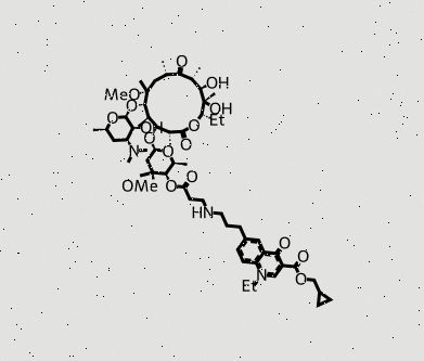 CC[C@@H]1OC(=O)[C@H](C)[C@H](O[C@@H]2C[C@](C)(OC)[C@H](OC(=O)CCNCCCc3ccc4c(c3)c(=O)c(C(=O)OCC3CC3)cn4CC)[C@H](C)O2)[C@@H](C)[C@H](O[C@@H]2O[C@H](C)C[C@H](N(C)C)[C@@H]2O)[C@](C)(OC)C[C@H](C)C(=O)[C@H](C)[C@@H](O)[C@]1(C)O